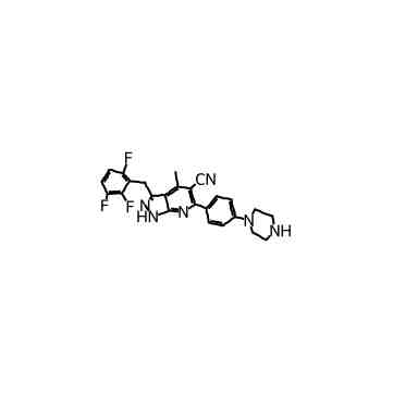 Cc1c(C#N)c(-c2ccc(N3CCNCC3)cc2)nc2[nH]nc(Cc3c(F)ccc(F)c3F)c12